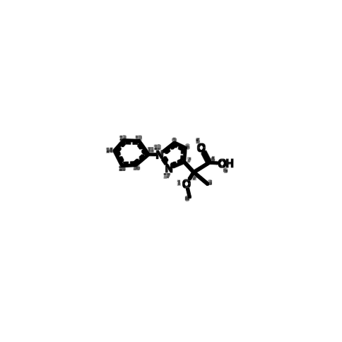 COC(C)(C(=O)O)c1ccn(-c2ccccc2)n1